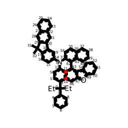 CCC(CC)(c1ccccc1)c1ccc(N(c2ccc3c(c2)-c2cc4ccccc4cc2C3(C)C)c2ccc3ccccc3c2-c2cccc3oc4ccccc4c23)cc1